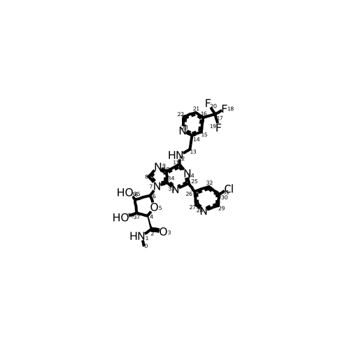 CNC(=O)[C@@H]1OC(n2cnc3c(NCc4cc(C(F)(F)F)ccn4)nc(-c4cncc(Cl)c4)nc32)C(O)C1O